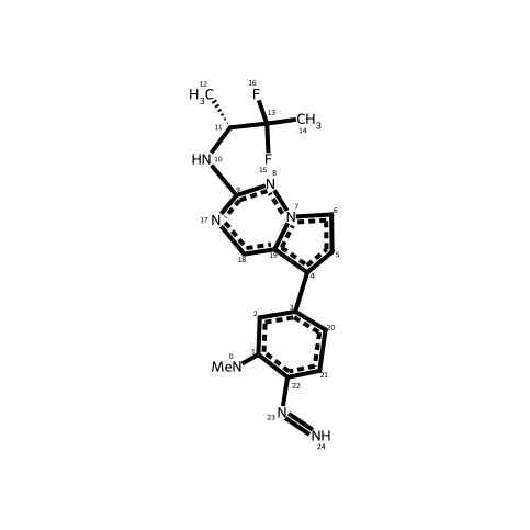 CNc1cc(-c2ccn3nc(N[C@H](C)C(C)(F)F)ncc23)ccc1N=N